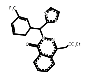 CCOC(=O)Cc1nn(C(c2nccs2)C2C=C(C(F)(F)F)C=CC2)c(=O)c2ccccc12